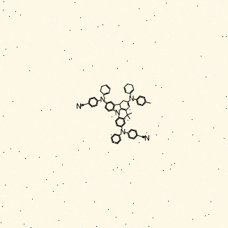 Cc1ccc(N(C2=CCCC=C2)C2=CC3=C4C(C2)c2cc(N(C5=CC=CCC5)c5ccc(C#N)cc5)ccc2N4c2ccc(N(c4ccccc4)c4ccc(C#N)cc4)cc2C3(C)C)cc1